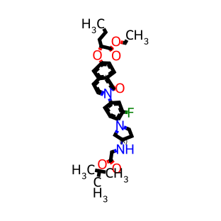 CCCC(Oc1ccc2c(=O)n(-c3ccc(N4CC[C@@H](NCC(=O)OC(C)(C)C)C4)c(F)c3)ccc2c1)C(=O)OCC